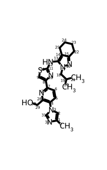 Cc1cn(-c2ccc(-c3csc(Nc4c5c(nn4CC(C)C)CCCC5)n3)nc2CO)cn1